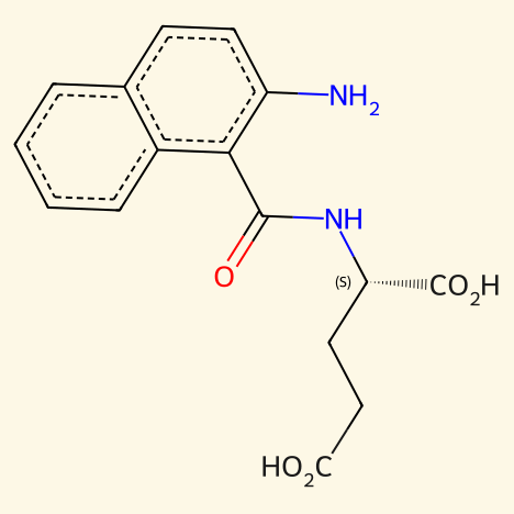 Nc1ccc2ccccc2c1C(=O)N[C@@H](CCC(=O)O)C(=O)O